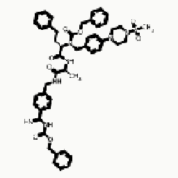 C[C@H](NC(=O)[C@@H](CCc1ccccc1)N(Cc1ccc(N2CCN(S(C)(=O)=O)CC2)cc1)C(=O)OCc1ccccc1)C(=O)NCc1ccc(C(=N)NC(=O)OCc2ccccc2)cc1